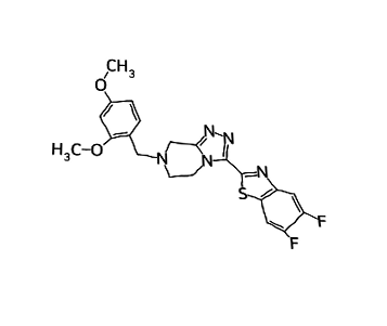 COc1ccc(CN2CCn3c(nnc3-c3nc4cc(F)c(F)cc4s3)C2)c(OC)c1